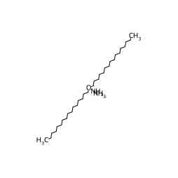 CCCCCCCCCCCCCCCCOCCCCCCCCCCCCCCCC.N.N